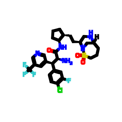 N[C@H](C(=O)N[C@H]1CCC[C@@H]1CC[C@H]1CN[C@@H]2CCCS(=O)(=O)N1C2)[C@H](c1cncc(C(F)(F)F)c1)c1ccc(Cl)c(F)c1